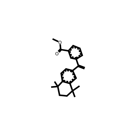 C=C(c1cccc(C(=O)OC)c1)c1ccc2c(c1)C(C)(C)CCC2(C)C